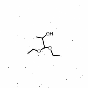 CCO[C](OCC)C(C)O